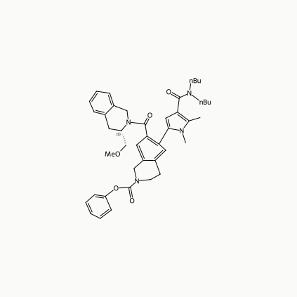 CCCCN(CCCC)C(=O)c1cc(-c2cc3c(cc2C(=O)N2Cc4ccccc4C[C@H]2COC)CN(C(=O)Oc2ccccc2)CC3)n(C)c1C